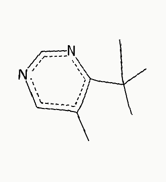 Cc1cncnc1C(C)(C)C